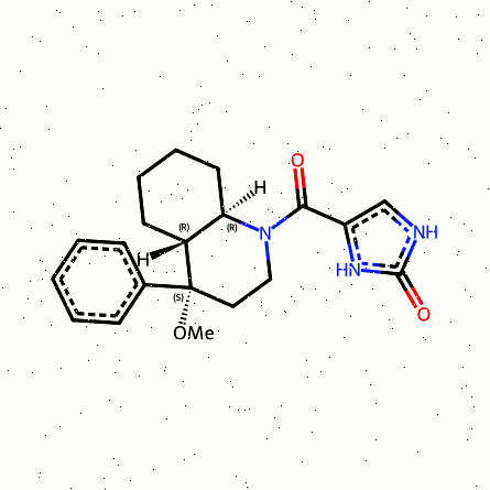 CO[C@@]1(c2ccccc2)CCN(C(=O)c2c[nH]c(=O)[nH]2)[C@@H]2CCCC[C@H]21